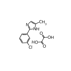 Cc1cnc(-c2cccc(Cl)c2)[nH]1.O=C(O)C(=O)O